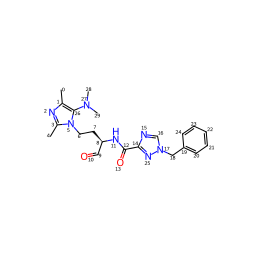 Cc1nc(C)n(CC[C@H](C=O)NC(=O)c2ncn(Cc3ccccc3)n2)c1N(C)C